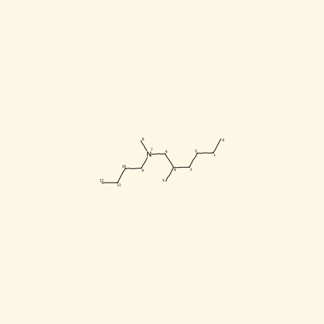 CCCCC(C)CN(C)CCCC